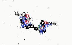 COC(=O)NC(C(=O)N1CCC[C@H]1c1ncc(-c2ccc(-c3ccc4cc(-c5cnc([C@@H]6CCCN6C(=O)[C@@H](NC(=O)OC)C(C)C)[nH]5)ccc4c3)cc2)[nH]1)c1ccccc1Cl